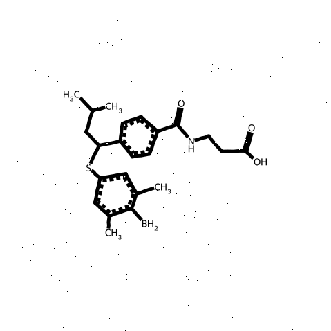 Bc1c(C)cc(SC(CC(C)C)c2ccc(C(=O)NCCC(=O)O)cc2)cc1C